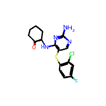 Nc1ncc(Sc2ccc(F)cc2Cl)c(NC2CCCCC2=O)n1